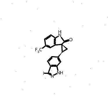 O=C1Nc2ccc(C(F)(F)F)cc2[C@]12C[C@H]2c1ccc2c(I)n[nH]c2c1